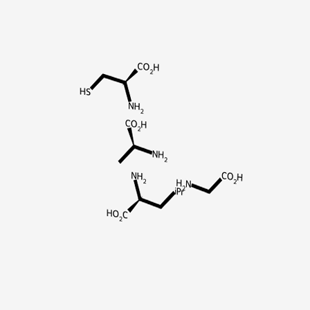 CC(C)C[C@H](N)C(=O)O.C[C@H](N)C(=O)O.NCC(=O)O.N[C@@H](CS)C(=O)O